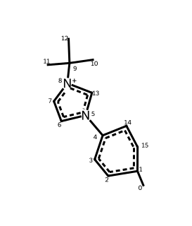 Cc1ccc(-n2cc[n+](C(C)(C)C)c2)cc1